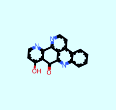 O=C1c2c(O)ccnc2-c2nccc3c2c1nc1ccccc13